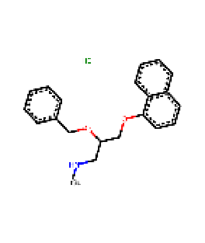 CC(C)(C)NCC(COc1cccc2ccccc12)OCc1ccccc1.Cl